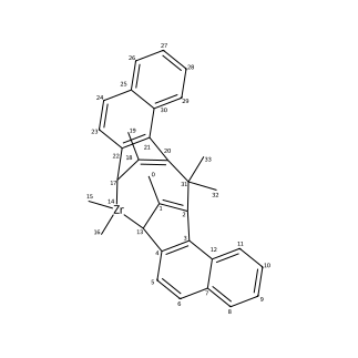 CC1=C2c3c(ccc4ccccc34)[CH]1[Zr]([CH3])([CH3])[CH]1C(C)=C(c3c1ccc1ccccc31)C2(C)C